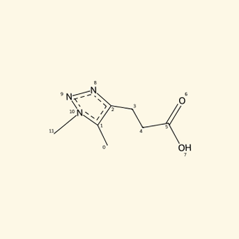 Cc1c(CCC(=O)O)nnn1C